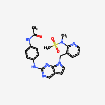 CC(=O)Nc1ccc(Nc2ncc3ccn(Cc4cccnc4N(C)S(C)(=O)=O)c3n2)cc1